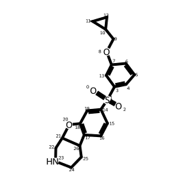 O=S(=O)(c1cccc(OCC2CC2)c1)c1ccc2c(c1)OC1CNCCC21